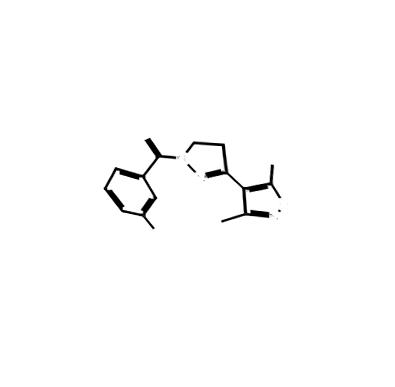 Cc1noc(C)c1C1=NN(C(=O)c2cccc(F)c2)CC1